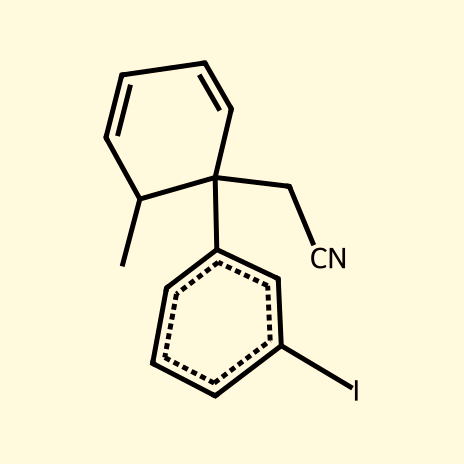 CC1C=CC=CC1(CC#N)c1cccc(I)c1